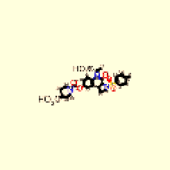 Cc1ccc(S(=O)(=O)N2CCC[C@H]2C(=O)N(c2ccc(OC(=O)N3CCC(C(=O)O)CC3)cc2)[C@@H](C)C(=O)O)cc1